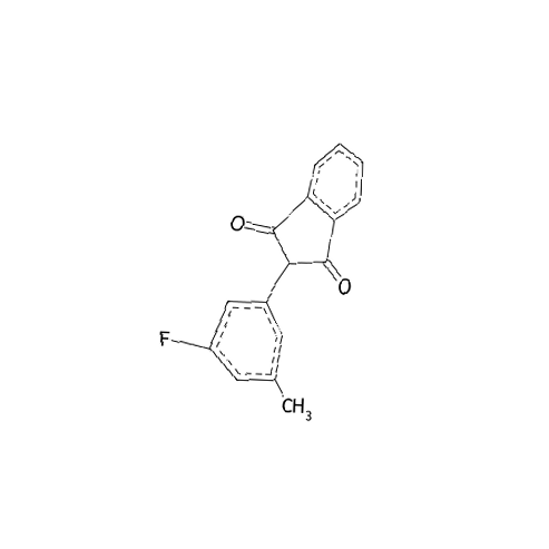 Cc1cc(F)cc(C2C(=O)c3ccccc3C2=O)c1